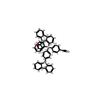 N#Cc1ccc([Si](c2ccccc2)(c2ccc(-n3c4ccccc4c4ccccc43)cc2)c2cccc3c4ccccc4n(-c4ccccc4)c23)cc1